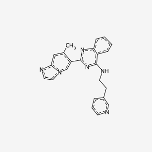 Cc1cc2nccn2cc1-c1nc(NCCc2cccnc2)c2ccccc2n1